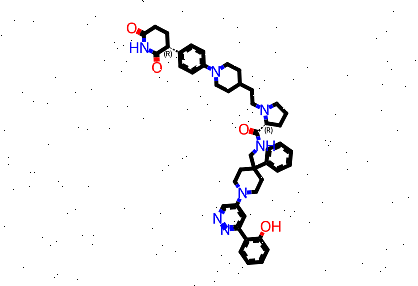 O=C1CC[C@H](c2ccc(N3CCC(CCN4CCC[C@@H]4C(=O)NCC4(c5ccccc5)CCN(c5cnnc(-c6ccccc6O)c5)CC4)CC3)cc2)C(=O)N1